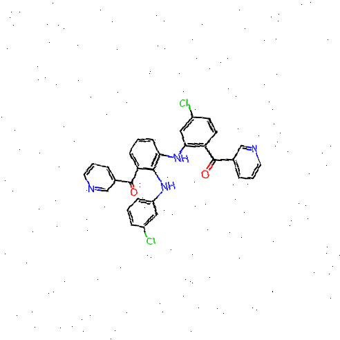 O=C(c1cccnc1)c1ccc(Cl)cc1Nc1cccc(C(=O)c2cccnc2)c1Nc1cccc(Cl)c1